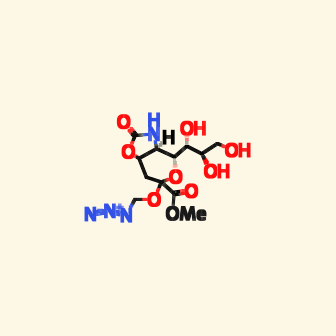 COC(=O)C1(OCN=[N+]=[N-])CC2OC(=O)N[C@H]2[C@H]([C@H](O)[C@H](O)CO)O1